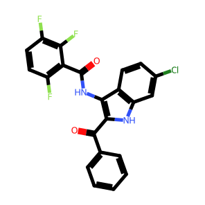 O=C(c1ccccc1)c1[nH]c2cc(Cl)ccc2c1NC(=O)c1c(F)ccc(F)c1F